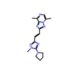 Cc1ncc(C)n2nc(C=Cc3nc(N4CCCC4)n(C)n3)nc12